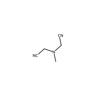 CN(CC#N)CC#N